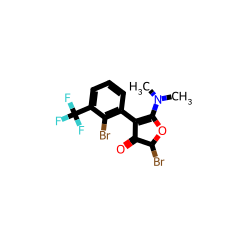 CN(C)C1=C(c2cccc(C(F)(F)F)c2Br)C(=O)C(Br)O1